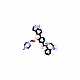 C[C@H]1CNC(C(=O)c2ccc(-c3ccc4[nH]ccc4c3)c(OCCN3CCN(C)CC3)c2)c2ccccc2N1